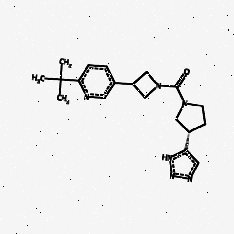 CC(C)(C)c1ccc(C2CN(C(=O)N3CC[C@H](c4cnn[nH]4)C3)C2)cn1